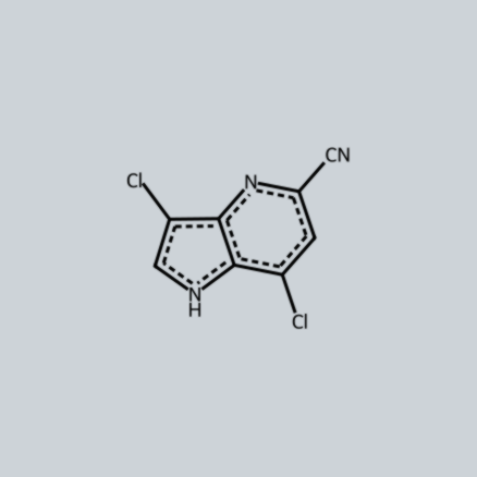 N#Cc1cc(Cl)c2[nH]cc(Cl)c2n1